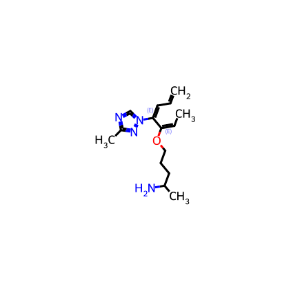 C=C/C=C(\C(=C/C)OCCCC(C)N)n1cnc(C)n1